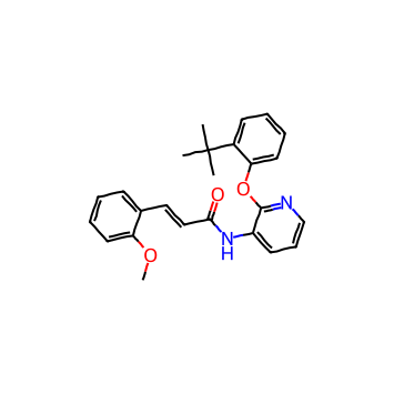 COc1ccccc1/C=C/C(=O)Nc1cccnc1Oc1ccccc1C(C)(C)C